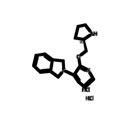 Cl.Cl.c1ccc2c(c1)CN(c1cccnc1OC[C@H]1CCCN1)C2